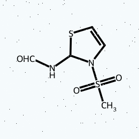 CS(=O)(=O)N1C=CSC1NC=O